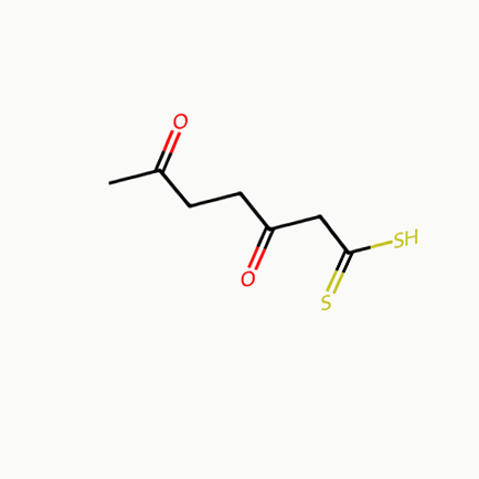 CC(=O)CCC(=O)CC(=S)S